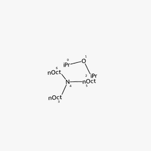 CC(C)OC(C)C.CCCCCCCCN(CCCCCCCC)CCCCCCCC